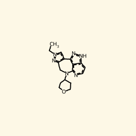 CCn1cc2c(n1)CN(C1CCOCC1)c1nccc3[nH]nc-2c13